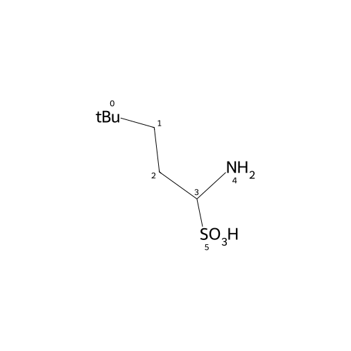 CC(C)(C)CCC(N)S(=O)(=O)O